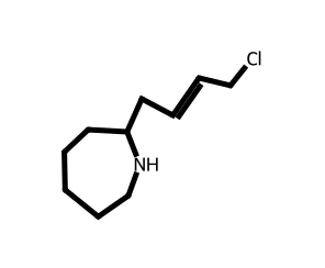 ClCC=CCC1CCCCCN1